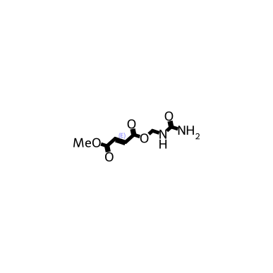 COC(=O)/C=C/C(=O)OCNC(N)=O